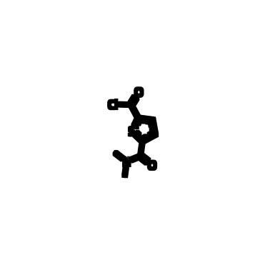 CN(C)C(=O)c1ccc(C(=O)Cl)s1